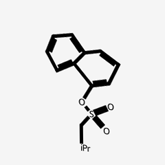 CC(C)CS(=O)(=O)Oc1cccc2ccccc12